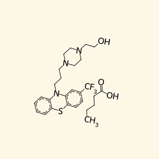 CCCCC(=O)O.OCCN1CCN(CCCN2c3ccccc3Sc3ccc(C(F)(F)F)cc32)CC1